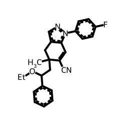 CCOC(CC1(C)Cc2cnn(-c3ccc(F)cc3)c2C=C1C#N)c1ccccc1